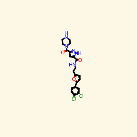 O=C(NCCc1ccc(-c2ccc(Cl)c(Cl)c2)o1)c1cc(C(=O)N2CCNCC2)n[nH]1